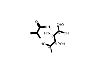 C=C(C)C(N)=O.C[C@@H](O)[C@@H](O)[C@H](O)[C@H](O)C=O